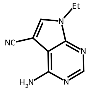 CCn1cc(C#N)c2c(N)ncnc21